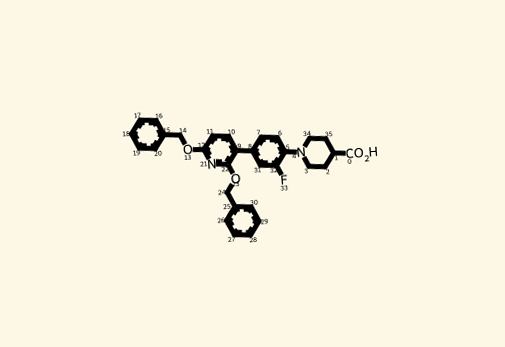 O=C(O)C1CCN(c2ccc(-c3ccc(OCc4ccccc4)nc3OCc3ccccc3)cc2F)CC1